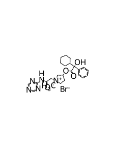 C[N@@+]1(CC(=O)Nc2ncncn2)CCC(OC(=O)C(O)(c2ccccc2)C2CCCCC2)C1.[Br-]